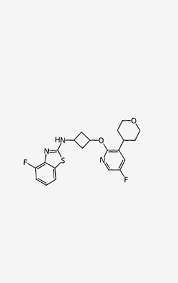 Fc1cnc(OC2CC(Nc3nc4c(F)cccc4s3)C2)c(C2CCOCC2)c1